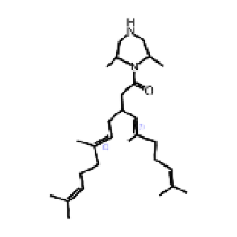 CC(C)=CCC/C(C)=C/CC(/C=C(\C)CCC=C(C)C)CC(=O)N1C(C)CNCC1C